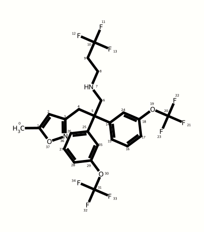 Cc1cc(CC(CNCCC(F)(F)F)(c2cccc(OC(F)(F)F)c2)c2cccc(OC(F)(F)F)c2)no1